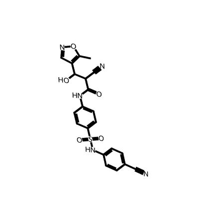 Cc1oncc1C(O)C(C#N)C(=O)Nc1ccc(S(=O)(=O)Nc2ccc(C#N)cc2)cc1